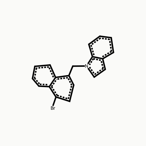 Brc1ccc(Cn2ccc3ccccc32)c2ccccc12